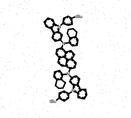 CC(C)(C)c1ccc(-n2c3ccccc3c3ccc(N(c4cccc5c4CCCC5)c4ccc5ccc6c(N(c7ccc8c9ccccc9n(-c9ccc(C(C)(C)C)cc9)c8c7)c7cccc8c7CCCC8)ccc7ccc4c5c76)cc32)cc1